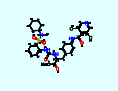 COC(=O)[C@H](Cc1ccc(NC(=O)c2c(Cl)cncc2Cl)cc1)NC(=O)Nc1ccccc1S(=O)(=O)N(C)C1CCCCC1